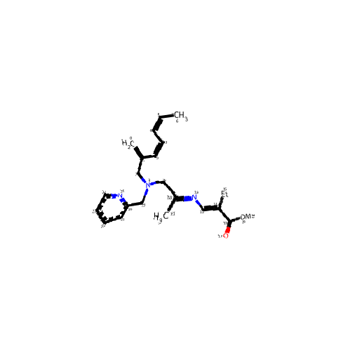 C=C(/C=C\C=C/C)CN(C/C(C)=N/C=C(\CC)C(=O)OC)Cc1ccccn1